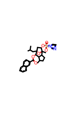 CC(C)CC12CC(OS(=O)(=O)n3ccnc3)C(C)(O1)C1CCC(C)C1C2OC(=O)c1ccc2ccccc2c1